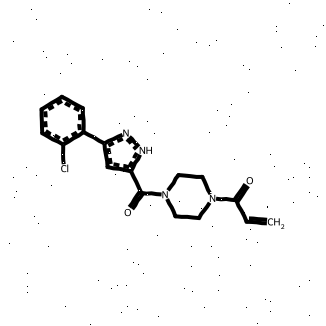 C=CC(=O)N1CCN(C(=O)c2cc(-c3ccccc3Cl)n[nH]2)CC1